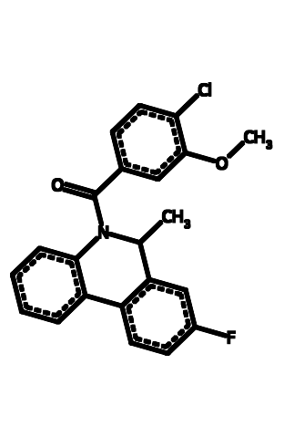 COc1cc(C(=O)N2c3ccccc3-c3ccc(F)cc3C2C)ccc1Cl